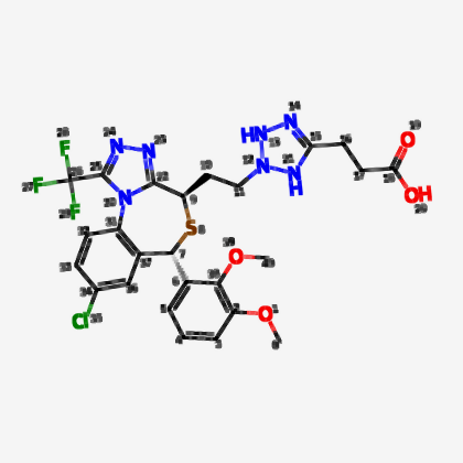 COc1cccc([C@H]2S[C@H](CCN3NN=C(CCC(=O)O)N3)c3nnc(C(F)(F)F)n3-c3ccc(Cl)cc32)c1OC